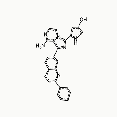 Nc1nccn2c(-c3cc(O)c[nH]3)nc(-c3ccc4ccc(-c5ccccc5)nc4c3)c12